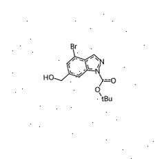 CC(C)(C)OC(=O)n1ncc2c(Br)cc(CO)cc21